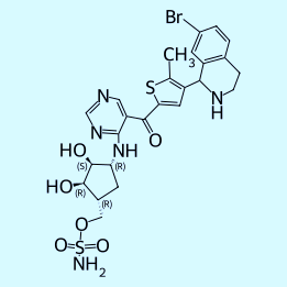 Cc1sc(C(=O)c2cncnc2N[C@@H]2C[C@H](COS(N)(=O)=O)[C@@H](O)[C@H]2O)cc1C1NCCc2ccc(Br)cc21